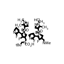 CNCc1cn(S(=O)(=O)c2cnn(C)c2C)c(-c2cccnc2F)c1F.Cc1c(S(=O)(=O)n2cc(CN(CC(C)(C)C)C(=O)O)c(F)c2-c2cccnc2F)cnn1C.Cl